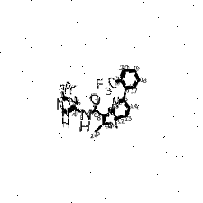 CCCc1n[nH]c(NC(=O)c2c(C)nc3ccc(-c4ccccc4C(F)(F)F)nn23)n1